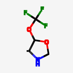 FC(F)(F)OC1[CH]NCO1